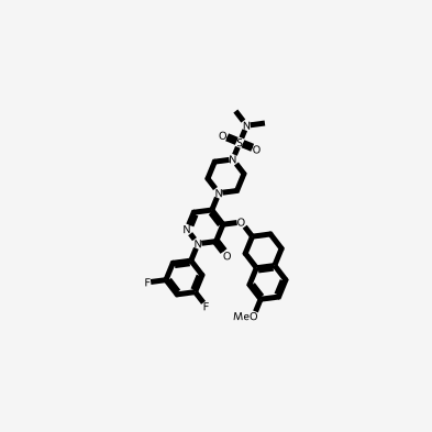 COc1ccc2c(c1)CC(Oc1c(N3CCN(S(=O)(=O)N(C)C)CC3)cnn(-c3cc(F)cc(F)c3)c1=O)CC2